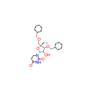 O=c1ccn([C@@H]2O[C@](CF)(COCc3ccccc3)[C@@H](OCc3ccccc3)[C@H]2O)c(=O)[nH]1